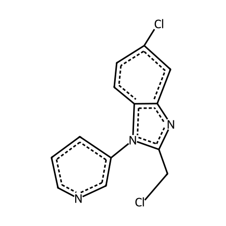 ClCc1nc2cc(Cl)ccc2n1-c1cccnc1